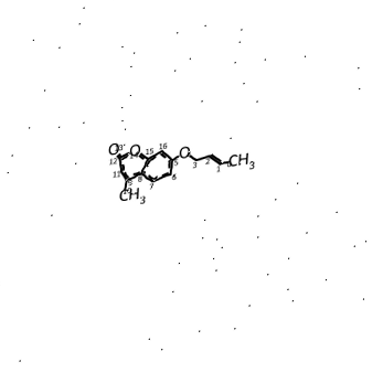 CC=CCOc1ccc2c(C)cc(=O)oc2c1